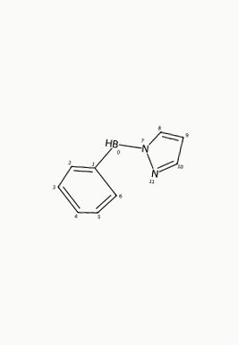 B(c1ccccc1)n1cccn1